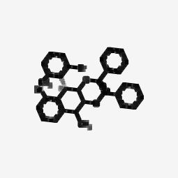 Cc1cccc(Br)c1[C@H]1c2c(Br)cccc2C(C)C(OC(=O)c2ccccc2)C1OC(=O)c1ccccc1